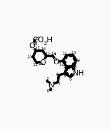 CN(C)CCc1c[nH]c2cccc(OCC3CC(OC(=O)O)CCO3)c12